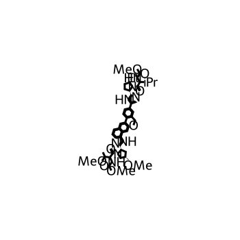 CC[C@H]1CC[C@@H](c2ncc(-c3ccc4c(c3)COc3cc5c(ccc6nc([C@@H]7C[C@H](COC)CN7C(=O)C(NC(=O)OC)C(C)OC)[nH]c65)cc3-4)[nH]2)N1C(=O)C(NC(=O)OC)C(C)C